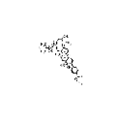 COC(=O)c1ccc(C2=CC[C@]3(C)[C@H]4CC=C5[C@@H]6[C@@H](C)[C@H](C)CC[C@]6(C(=O)O[Si](C)(C)C(C)(C)C)CC[C@@]5(C)[C@]4(C)CC[C@H]3C2(C)C)cc1